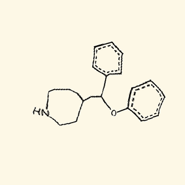 c1ccc(OC(c2ccccc2)C2CCNCC2)cc1